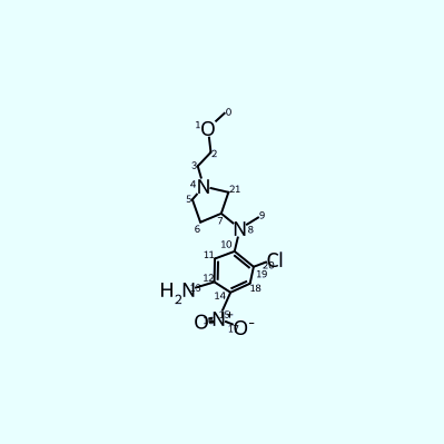 COCCN1CCC(N(C)c2cc(N)c([N+](=O)[O-])cc2Cl)C1